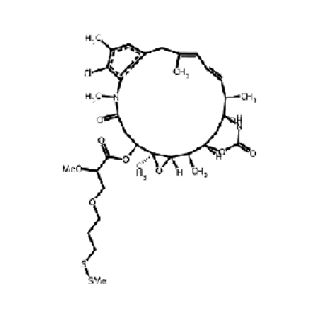 COC(COCCCSSC)C(=O)O[C@H]1CC(=O)N(C)c2cc(cc(C)c2Cl)C/C(C)=C/C=C/[C@@H](C)[C@@]2(O)C[C@H](OC(=O)N2)[C@@H](C)[C@@H]2O[C@@]12C